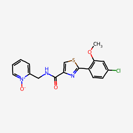 COc1cc(Cl)ccc1-c1nc(C(=O)NCc2cccc[n+]2[O-])cs1